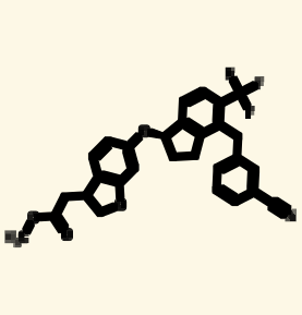 COC(=O)CC1COc2cc(O[C@@H]3CCc4c3ccc(C(F)(F)F)c4Cc3cccc(C#N)c3)ccc21